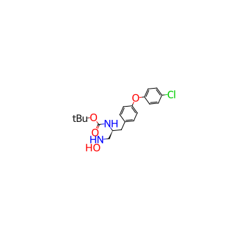 CC(C)(C)OC(=O)N[C@H](CNO)Cc1ccc(Oc2ccc(Cl)cc2)cc1